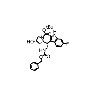 CC(C)(C)OC(=O)N1C[C@H](O)C[C@H]1[C@@H](CNC(=O)OCc1ccccc1)c1c[nH]c2cc(F)ccc12